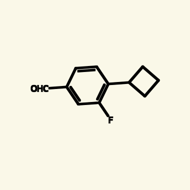 O=Cc1ccc(C2CCC2)c(F)c1